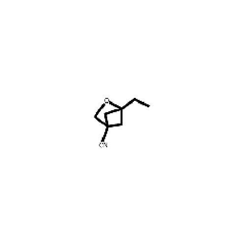 N#CC12COC(CI)(C1)C2